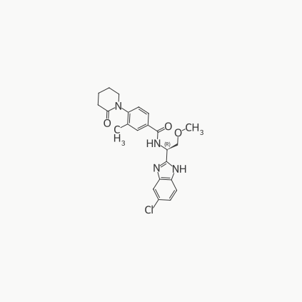 COC[C@H](NC(=O)c1ccc(N2CCCCC2=O)c(C)c1)c1nc2cc(Cl)ccc2[nH]1